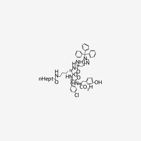 CCCCCCCC(=O)NCCCC[C@H](NC(=O)[C@H](N)Cc1cn(C(c2ccccc2)(c2ccccc2)c2ccccc2)cn1)C(=O)N[C@H](Cc1ccc(Cl)cc1)C(=O)N[C@H](Cc1ccc(O)cc1)C(=O)O